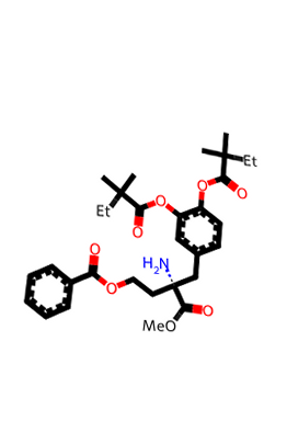 CCC(C)(C)C(=O)Oc1ccc(C[C@](N)(CCOC(=O)c2ccccc2)C(=O)OC)cc1OC(=O)C(C)(C)CC